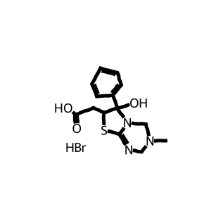 Br.CN1CN=C2SC(CC(=O)O)C(O)(c3ccccc3)N2C1